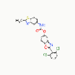 Cc1nc2cc(NC(=O)Oc3ccc4oc(-c5c(Cl)cccc5Cl)nc4c3)ccc2s1